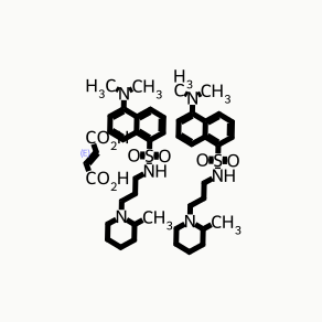 CC1CCCCN1CCCNS(=O)(=O)c1cccc2c(N(C)C)cccc12.CC1CCCCN1CCCNS(=O)(=O)c1cccc2c(N(C)C)cccc12.O=C(O)/C=C/C(=O)O